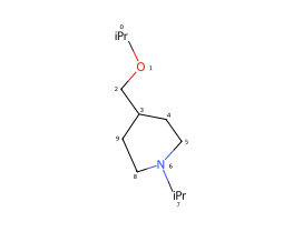 CC(C)OCC1CCN(C(C)C)CC1